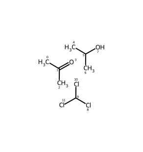 CC(C)=O.CC(C)O.ClC(Cl)Cl